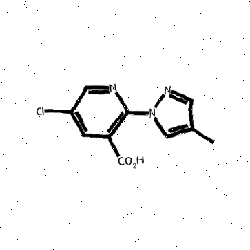 Cc1cnn(-c2ncc(Cl)cc2C(=O)O)c1